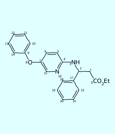 CCOC(=O)CC(Nc1ccc(Oc2ccccc2)cn1)c1ccccc1